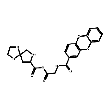 O=C(CNC(=O)c1ccc2c(c1)Sc1ccccc1O2)OC(=O)C1CC2(CN1)OCCO2